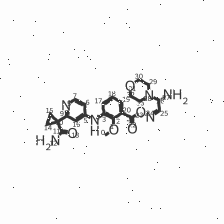 COc1c(Nc2ccnc(C3(C(N)=O)CC3)c2)cccc1C(=O)O/N=C\[C@@H](N)N1CCOCC1